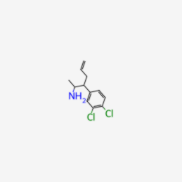 C=CCC(c1ccc(Cl)c(Cl)c1)C(C)N